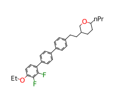 CCCC1CCC(CCc2ccc(-c3ccc(-c4ccc(OCC)c(F)c4F)cc3)cc2)CO1